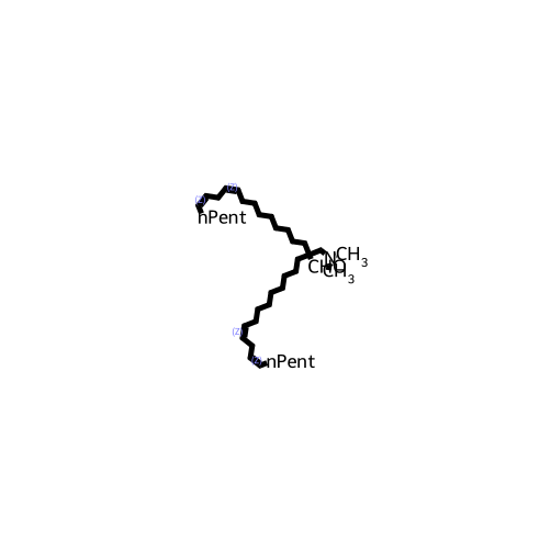 CCCCC/C=C\C/C=C\CCCCCCCCC(C=O)(CCCCCCCC/C=C\C/C=C\CCCCC)CN(C)C